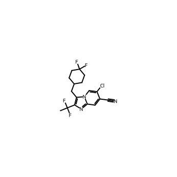 CC(F)(F)c1nc2cc(C#N)c(Cl)cn2c1CC1CCC(F)(F)CC1